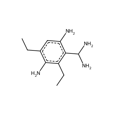 CCc1cc(N)c(C(N)N)c(CC)c1N